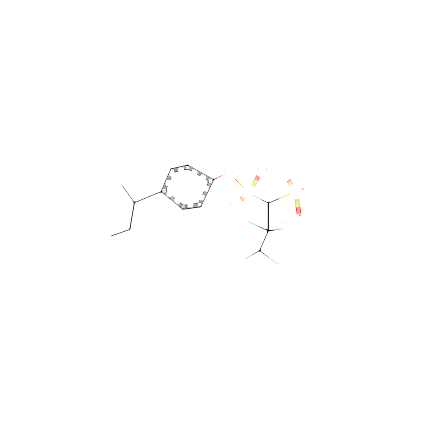 CCC(C)c1ccc(OS(=O)(=O)C(C(F)(F)C(F)F)S(=O)(=O)O)cc1